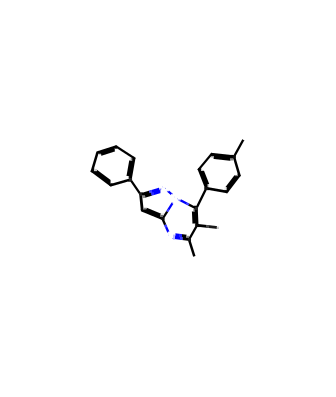 Cc1ccc(-c2c(C=O)c(C)nc3cc(-c4ccccc4)nn23)cc1